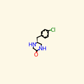 O=C1CN[C@@H](Cc2ccc(Cl)cc2)CN1